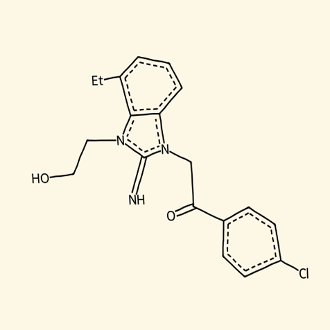 CCc1cccc2c1n(CCO)c(=N)n2CC(=O)c1ccc(Cl)cc1